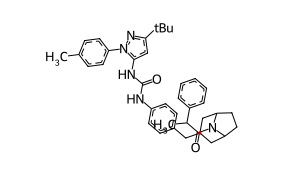 Cc1ccc(-n2nc(C(C)(C)C)cc2NC(=O)Nc2ccc(CC3CC4CCC(C3)N4C(=O)C(C)c3ccccc3)cc2)cc1